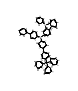 c1ccc(-c2ccc(N(c3ccc(-c4ccc(C(c5ccccc5)(c5ccccc5)c5ccccc5)cc4)cc3)c3ccc4c5ccccc5n(-c5ccccc5)c4c3)cc2)cc1